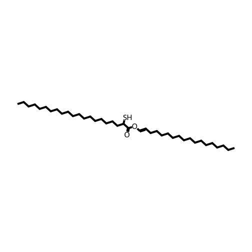 CCCCCCCCCCCCCCCCC=COC(=O)C(S)CCCCCCCCCCCCCCCCCCC